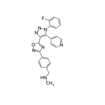 CNCc1ccc(-c2noc(-c3nnn(-c4ccccc4F)c3-c3ccncc3)n2)cc1